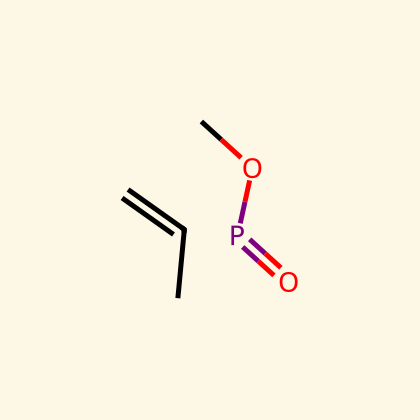 C=CC.COP=O